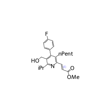 CCCCCc1c(/C=C/C(=O)OC)nc(C(C)C)c(CO)c1-c1ccc(F)cc1